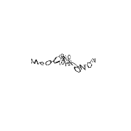 COc1cc(C)c(S(=O)(=O)N(C)CC(=O)NCC(=O)N(C)Cc2cccc(CN(C)C)c2)c(C)c1